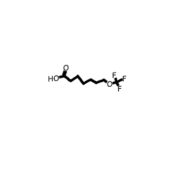 O=C(O)CCCCCCOC(F)(F)F